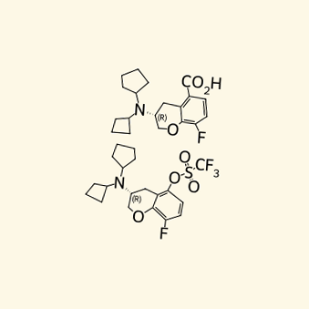 O=C(O)c1ccc(F)c2c1C[C@@H](N(C1CCCC1)C1CCC1)CO2.O=S(=O)(Oc1ccc(F)c2c1C[C@@H](N(C1CCCC1)C1CCC1)CO2)C(F)(F)F